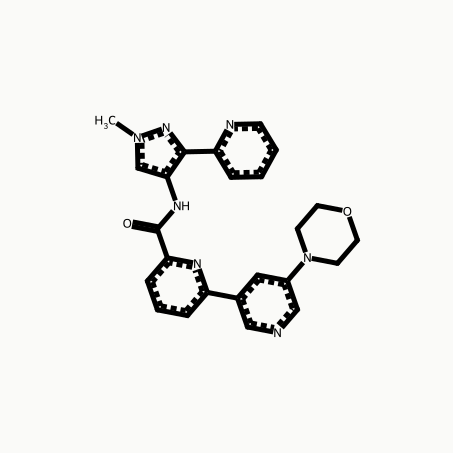 Cn1cc(NC(=O)c2cccc(-c3cncc(N4CCOCC4)c3)n2)c(-c2ccccn2)n1